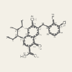 CCC([C@@H](C)CC)n1cc(C(=O)O)c(=O)c2cc(Cc3cccc(Cl)c3F)c(O)cc21